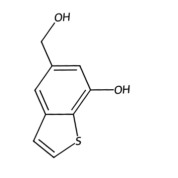 OCc1cc(O)c2sccc2c1